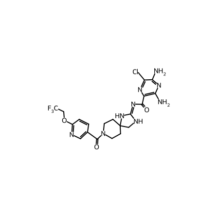 Nc1nc(N)c(C(=O)/N=C2\NCC3(CCN(C(=O)c4ccc(OCC(F)(F)F)nc4)CC3)N2)nc1Cl